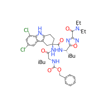 CC[C@H](C)C(NC(=O)OCc1ccccc1)C(=O)N[C@]1(C(=O)NC(c2nc(C(=O)N(CC)CC)no2)[C@@H](C)CC)CCc2[nH]c3c(Cl)cc(Cl)cc3c2C1